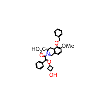 COc1ccc2c(c1OCc1ccccc1)C[C@H](C(=O)O)N(C(=O)[C@H](O[C@H]1C[C@@H](O)C1)c1ccccc1)C2